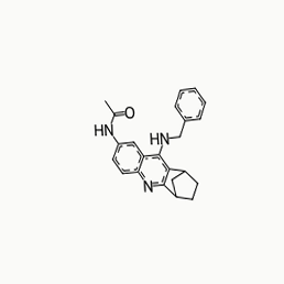 CC(=O)Nc1ccc2nc3c(c(NCc4ccccc4)c2c1)C1CCC3C1